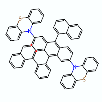 c1ccc2c(c1)Sc1ccccc1N2c1ccc2c(-c3cccc4ccccc34)c3cc(N4c5ccccc5Sc5ccccc54)ccc3c(-c3ccccc3-c3cccc4ccccc34)c2c1